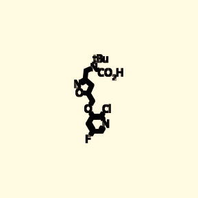 CC(C)(C)N(CC1=NOC(COc2cc(F)cnc2Cl)C1)C(=O)O